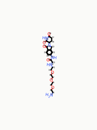 NCCOCCOCCOCCNCC(=O)Nc1ccc2c(c1)CN(C1CCC(=O)NC1=O)C2=O